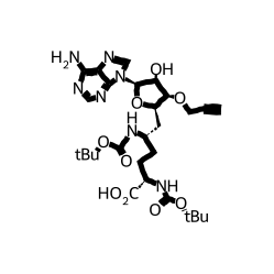 C#CCO[C@@H]1[C@@H](O)[C@H](n2cnc3c(N)ncnc32)O[C@@H]1C[C@H](CC[C@H](NC(=O)OC(C)(C)C)C(=O)O)NC(=O)OC(C)(C)C